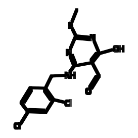 CSc1nc(O)c(C=O)c(NCc2ccc(Cl)cc2Cl)n1